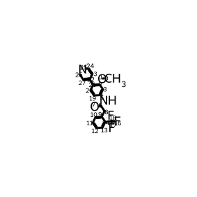 COc1cc(NC(=O)Cc2ccccc2C(F)(F)F)ccc1-c1ccncc1